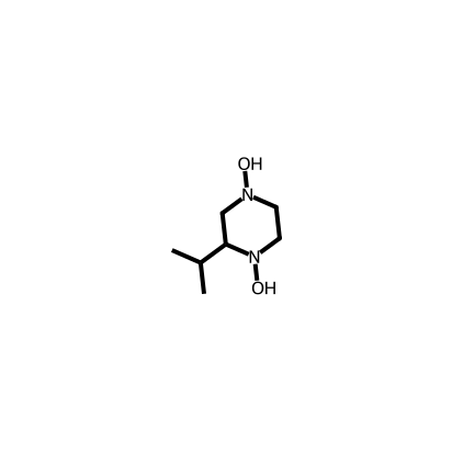 CC(C)C1CN(O)CCN1O